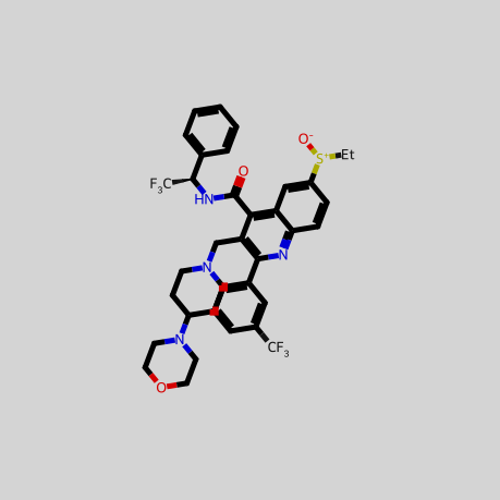 CC[S+]([O-])c1ccc2nc(-c3cccc(C(F)(F)F)c3)c(CN3CCC(N4CCOCC4)CC3)c(C(=O)N[C@H](c3ccccc3)C(F)(F)F)c2c1